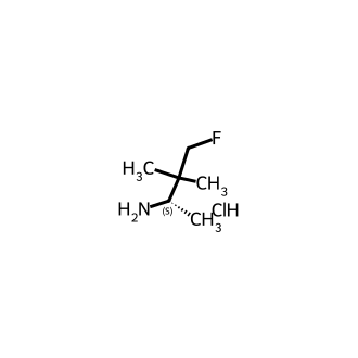 C[C@H](N)C(C)(C)CF.Cl